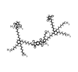 CCCCCCCCC1C(CCCCCC)CCC(CCCCCCCCC(C)(CCCCCCC)n2c(=O)c3cc4c(=O)n(CCCCCCCCC5C(CCCCCCCCC(C)(C)N6C(=O)C=CC6=O)CCC(CCCCCC)C5CCCCCCCC)c(=O)c4cc3c2=O)C1CCCCCCCCN1C(=O)C=CC1=O